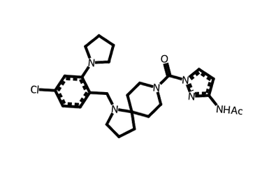 CC(=O)Nc1ccn(C(=O)N2CCC3(CCCN3Cc3ccc(Cl)cc3N3CCCC3)CC2)n1